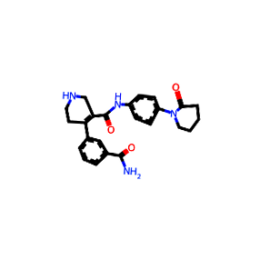 NC(=O)c1cccc(C2=C(C(=O)Nc3ccc(N4CCCCC4=O)cc3)CNCC2)c1